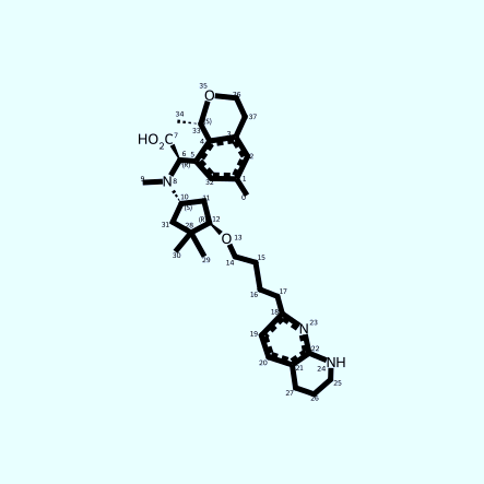 Cc1cc2c(c([C@H](C(=O)O)N(C)[C@@H]3C[C@@H](OCCCCc4ccc5c(n4)NCCC5)C(C)(C)C3)c1)[C@H](C)OCC2